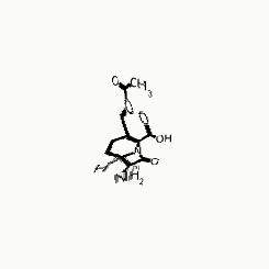 CC(=O)OCC1=C(C(=O)O)N2C(=O)[C@@H](N)[C@H]2CC1